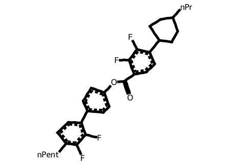 CCCCCc1ccc(-c2ccc(OC(=O)c3ccc(C4CCC(CCC)CC4)c(F)c3F)cc2)c(F)c1F